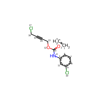 C=C.O=C(Nc1cccc(Cl)c1)OCC#CCCl